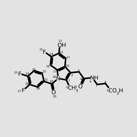 Cc1c(CC(=O)NCCC(=O)O)c2cc(O)c(F)cc2n1C(=O)c1ccc(F)c(F)c1